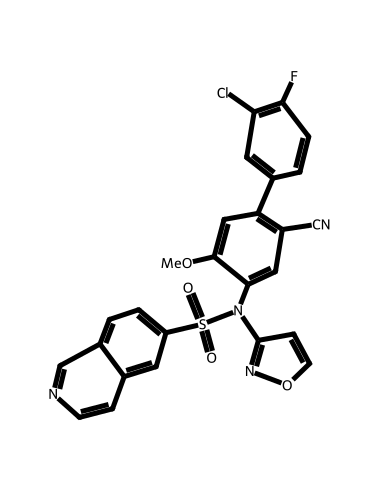 COc1cc(-c2ccc(F)c(Cl)c2)c(C#N)cc1N(c1ccon1)S(=O)(=O)c1ccc2cnccc2c1